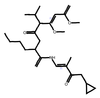 C=C(/C=C(\OC)C(C(=O)CC(CCCC)C(=C)N/C=C(\C)C(=O)CC1CC1)C(C)C)OC